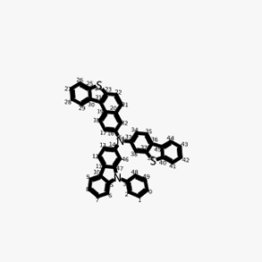 c1ccc(-n2c3ccccc3c3ccc(N(c4ccc5c(ccc6sc7ccccc7c65)c4)c4ccc5c(c4)sc4ccccc45)cc32)cc1